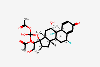 CCCCC(=O)OC(O)(OC(=O)CCCC)O[C@]1(C(=O)CO)[C@H](C)C[C@H]2[C@@H]3C[C@H](F)C4=CC(=O)C=C[C@]4(C)[C@@]3(F)[C@@H](O)C[C@@]21C